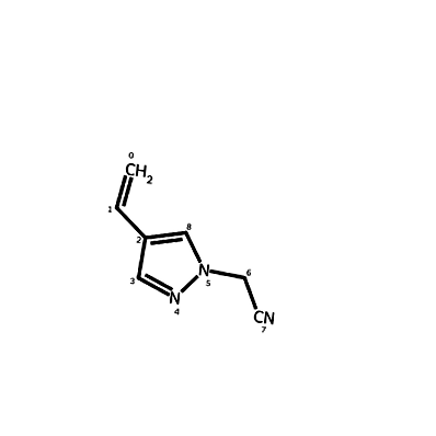 C=Cc1cnn(CC#N)c1